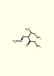 CC(SN)C(N=NN)C(=O)ON